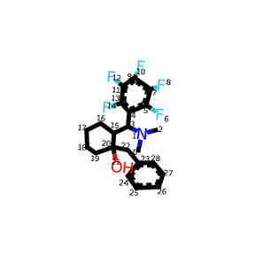 CN(C)C(c1c(F)c(F)c(F)c(F)c1F)C1CCCCC1(O)Cc1ccccc1